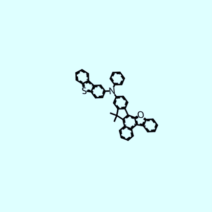 CC1(C)c2cc(N(c3ccccc3)c3ccc4sc5ccccc5c4c3)ccc2-c2c1c1ccccc1c1c2oc2ccccc21